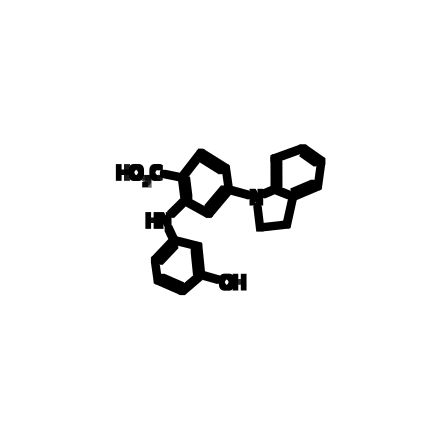 O=C(O)c1ccc(N2CCc3ccccc32)cc1Nc1cccc(O)c1